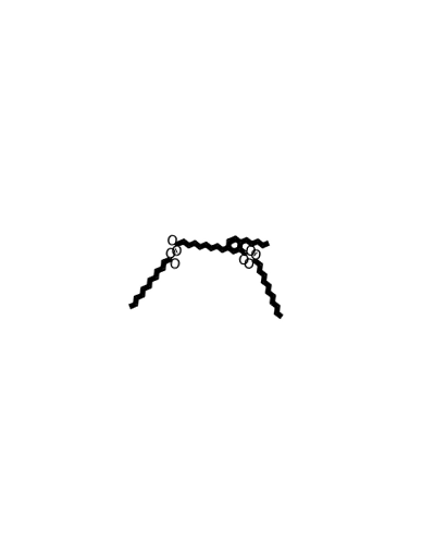 CCCCCCCCCCCC(=O)OOC(=O)CCCCCCCCC1C=CC(CCCCC)C(C(=O)OOC(=O)CCCCCCCCCCC)C1